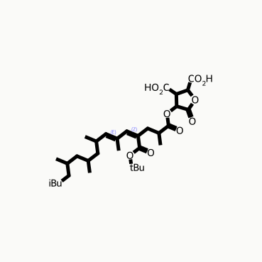 CCC(C)CC(C)CC(C)CC(C)/C=C(C)/C=C(/CC(C)C(=O)OC1C(=O)OC(C(=O)O)C1C(=O)O)C(=O)OC(C)(C)C